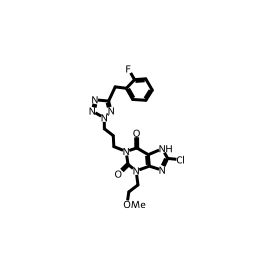 COCCn1c(=O)n(CCCn2nnc(Cc3ccccc3F)n2)c(=O)c2[nH]c(Cl)nc21